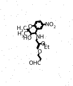 CCO/C(=C\OCCC=O)CNC1c2cc([N+](=O)[O-])ccc2OC(C)(C)C1O